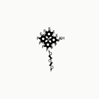 COCCOCCOC.Fc1c(F)c(F)c([B-](c2c(F)c(F)c(F)c(F)c2F)(c2c(F)c(F)c(F)c(F)c2F)c2c(F)c(F)c(F)c(F)c2F)c(F)c1F.[KH]